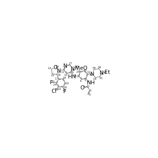 C=CC(=O)Nc1cc(Nc2cc(N3OCCC3c3ccc(F)c(Cl)c3F)ncn2)c(OC)cc1N1CCN(CC)CC1